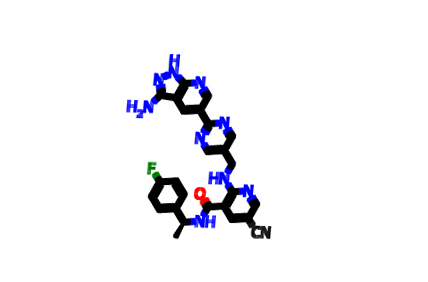 C[C@H](NC(=O)c1cc(C#N)cnc1NCc1cnc(-c2cnc3[nH]nc(N)c3c2)nc1)c1ccc(F)cc1